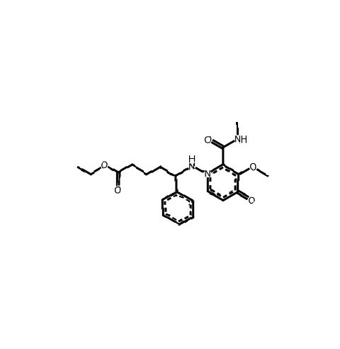 CCOC(=O)CCCC(Nn1ccc(=O)c(OC)c1C(=O)NC)c1ccccc1